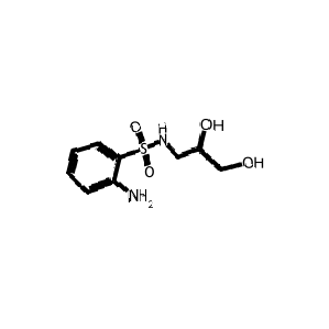 Nc1ccccc1S(=O)(=O)NCC(O)CO